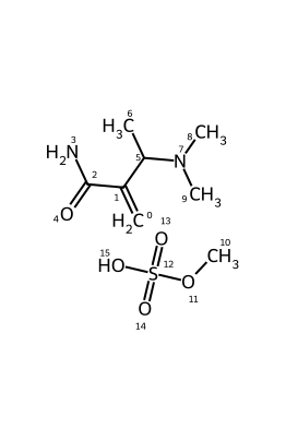 C=C(C(N)=O)C(C)N(C)C.COS(=O)(=O)O